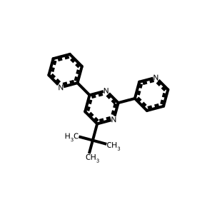 CC(C)(C)c1cc(-c2ccccn2)nc(-c2cccnc2)n1